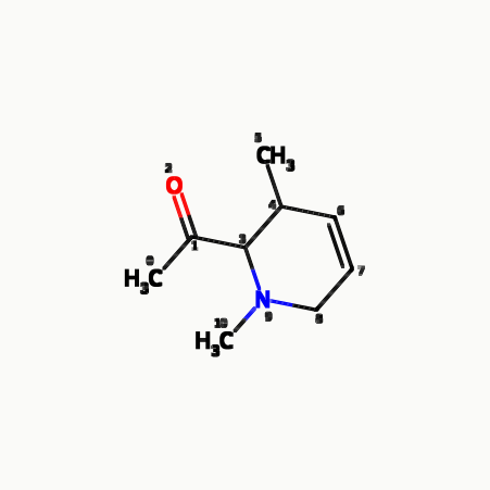 CC(=O)C1C(C)C=CCN1C